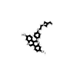 Oc1ccc2c3c(cnc2c1)-c1ccc(C(F)(F)F)cc1O[C@@H]3c1ccc(OCCN2CC(CF)C2)cc1